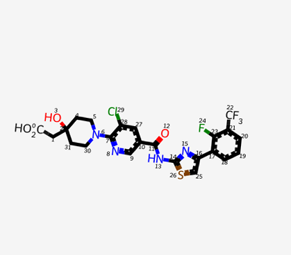 O=C(O)CC1(O)CCN(c2ncc(C(=O)Nc3nc(-c4cccc(C(F)(F)F)c4F)cs3)cc2Cl)CC1